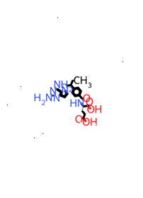 CCC(Cn1ccc2nc(N)nc(N)c21)c1ccc(C(=O)N[C@@H](CCC(=O)O)C(=O)O)cc1